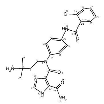 CC(C)(N)CCN(C(=O)c1nc[nH]c1C(N)=O)c1ccc(NC(=O)c2ccccc2Cl)cc1